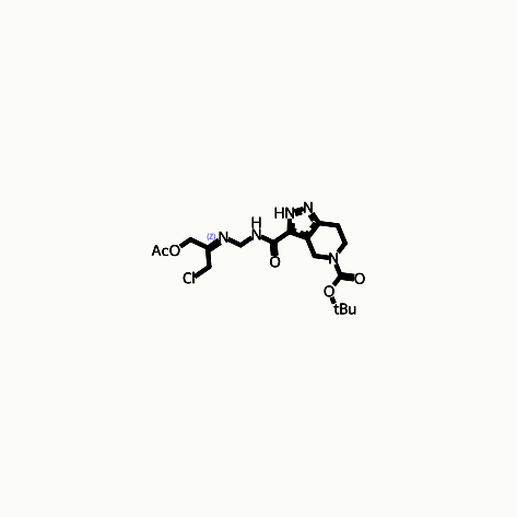 CC(=O)OC/C(CCl)=N/CNC(=O)c1[nH]nc2c1CN(C(=O)OC(C)(C)C)CC2